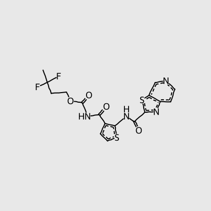 CC(F)(F)CCOC(=O)NC(=O)c1ccsc1NC(=O)c1nc2ccncc2s1